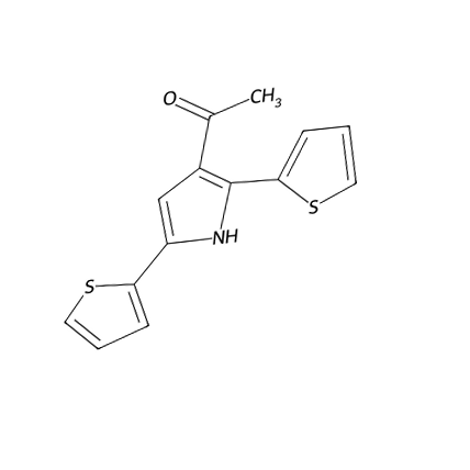 CC(=O)c1cc(-c2cccs2)[nH]c1-c1cccs1